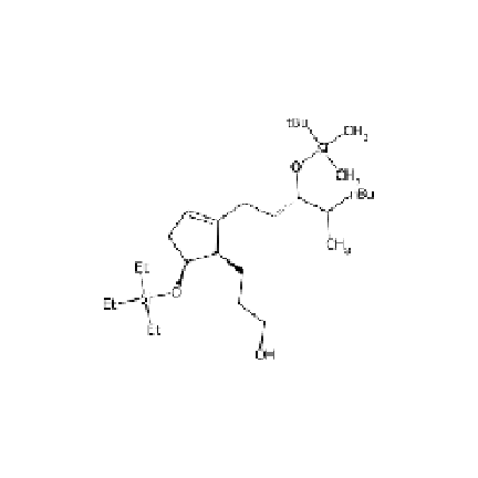 CCCCC(C)[C@H](CCC1=CC[C@H](O[Si](CC)(CC)CC)[C@@H]1CCCO)O[Si](C)(C)C(C)(C)C